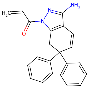 C=CC(=O)n1nc(N)c2c1CC(c1ccccc1)(c1ccccc1)C=C2